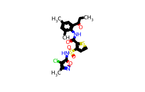 CCC(=O)c1cc(C)cc(C)c1NC(=O)c1sccc1S(=O)(=O)Nc1onc(C)c1Cl